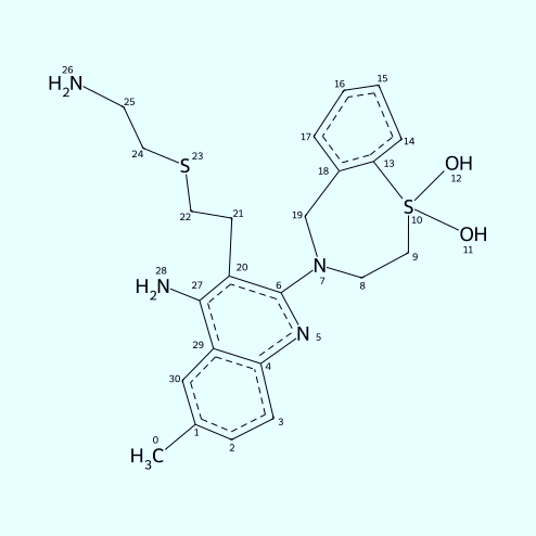 Cc1ccc2nc(N3CCS(O)(O)c4ccccc4C3)c(CCSCCN)c(N)c2c1